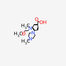 COCCN(C)c1cc(C(=O)O)ccc1N1CCN(C)CC1